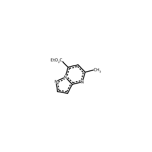 CCOC(=O)c1cc(C)nc2ccnn12